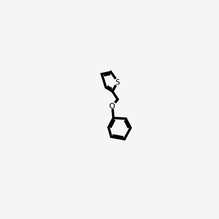 [c]1ccc(COc2ccccc2)s1